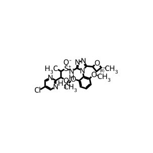 COc1cccc(OC)c1-n1c(N[S+]([O-])C(C)C(OC)c2ncc(Cl)cn2)nnc1C1C[C@@H](C)O1